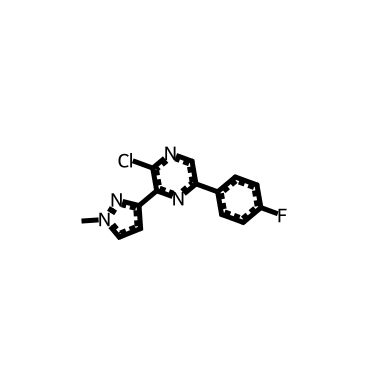 Cn1ccc(-c2nc(-c3ccc(F)cc3)cnc2Cl)n1